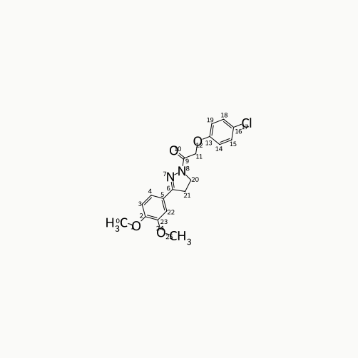 COc1ccc(C2=NN(C(=O)COc3ccc(Cl)cc3)CC2)cc1OC